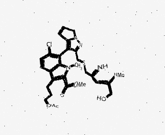 CN/C(=C\C(=N)CSCc1nn2c(c1-c1c(Cl)ccc3c(CCCOC(C)=O)c(C(=O)OC)n(C)c13)CCC2)CO